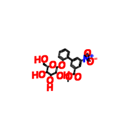 COC(=O)c1cc(-c2ccccc2O[C@@H]2O[C@H](CO)[C@H](O)[C@H](O)[C@H]2O)cc([N+](=O)[O-])c1